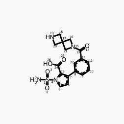 NS(=O)(=O)n1ccc(-c2cccc(C(=O)N3CC4(CNC4)C3)c2)c1C(=O)O